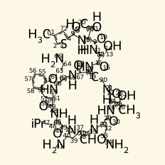 Cc1csc(C(=O)N[C@H](C(=O)N[C@H](CO)C(=O)N[C@H]2CCNC(=O)[C@H]([C@@H](C)O)NC(=O)[C@H](CCN)NC[C@](C=O)(CCN)NC(=O)[C@H](CC(C)C)NC(=O)[C@@H](Cc3ccccc3)NC(=O)[C@H](CCN)NC2=O)[C@@H](C)O)c1